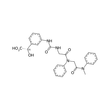 CN(C(=O)CN(C(=O)CNC(=O)Nc1cccc([C@H](O)C(=O)O)c1)c1ccccc1)c1ccccc1